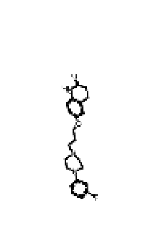 O=C1CCc2cc(OCCCN3CCN(c4cccc(F)c4)CC3)ccc2N1